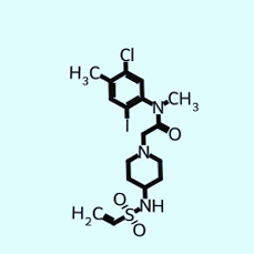 C=CS(=O)(=O)NC1CCN(CC(=O)N(C)c2cc(Cl)c(C)cc2I)CC1